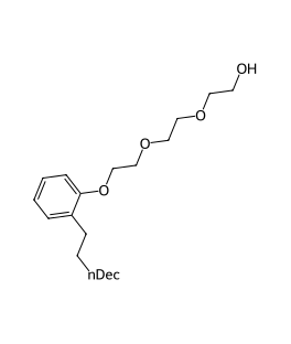 CCCCCCCCCCCCc1ccccc1OCCOCCOCCO